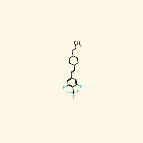 CCCC1CCC(/C=C/c2cc(F)c(C(F)(F)F)c(F)c2)CC1